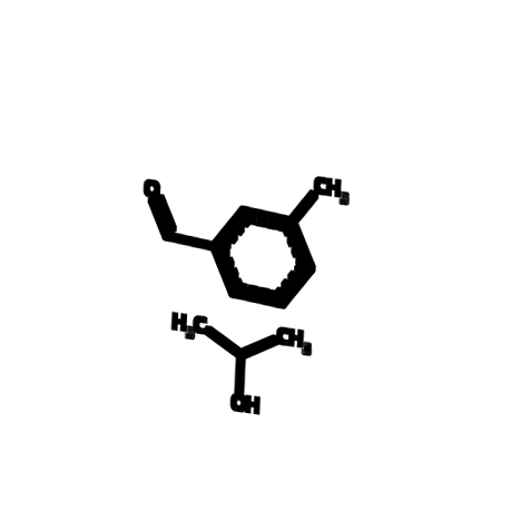 CC(C)O.Cc1cccc(C=O)c1